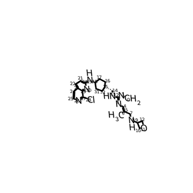 C=N/C(=N\C=C(/C)CNC1COC1)NC[C@H]1CC[C@H](Nc2ccc3ccnc(Cl)c3n2)CC1